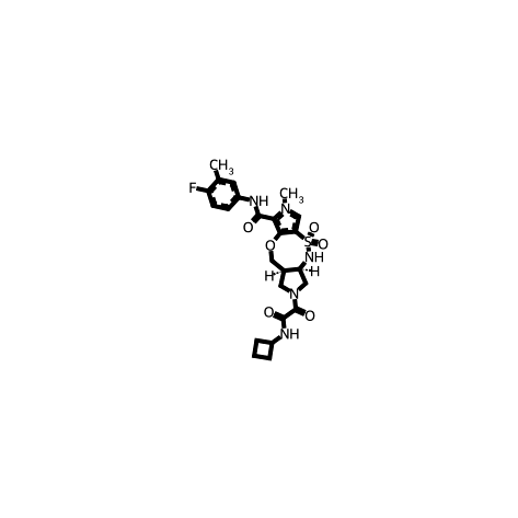 Cc1cc(NC(=O)c2c3c(cn2C)S(=O)(=O)N[C@H]2CN(C(=O)C(=O)NC4CCC4)C[C@H]2CO3)ccc1F